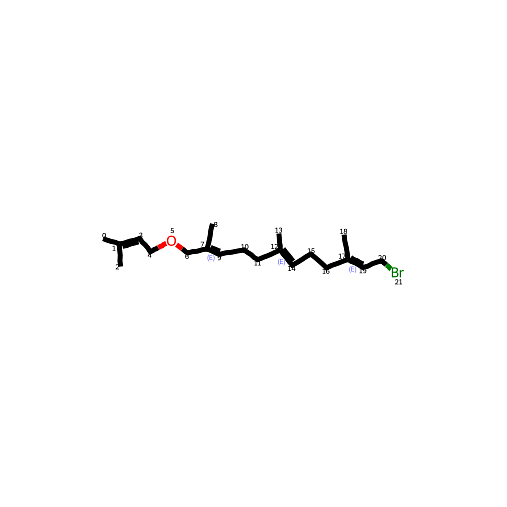 CC(C)=CCOC/C(C)=C/CC/C(C)=C/CC/C(C)=C/CBr